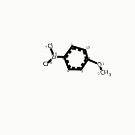 COc1cc[c]([Zr]([Cl])[Cl])cc1